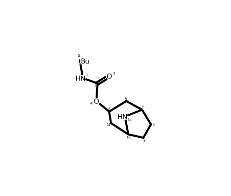 CC(C)(C)NC(=O)OC1CC2CCC(C1)N2